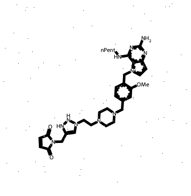 CCCCCNc1nc(N)nc2ccn(Cc3ccc(CN4CCN(CCN5C=C(CN6C(=O)C=CC6=O)NN5)CC4)cc3OC)c12